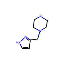 c1cc(CN2CC[N]CC2)n[nH]1